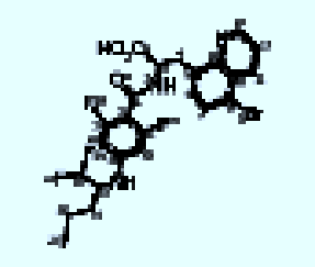 O=C(NC(Cc1ccc(Br)c2cccnc12)C(=O)O)c1c(F)cc(NC(CCF)C(F)F)cc1F